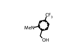 CNc1cc(C(F)(F)F)ccc1CO